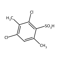 Cc1cc(Cl)c(C)c(Cl)c1S(=O)(=O)O